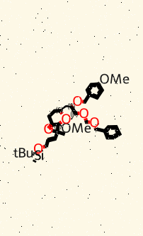 COc1ccc(CO[C@H](C[C@@H]2CCC(=O)[C@](OC)(C(C)(C)C=CCO[Si](C)(C)C(C)(C)C)O2)[C@@H](C)OCOCc2ccccc2)cc1